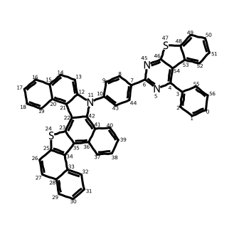 c1ccc(-c2nc(-c3ccc(-n4c5ccc6ccccc6c5c5c6sc7ccc8ccccc8c7c6c6ccccc6c54)cc3)nc3sc4ccccc4c23)cc1